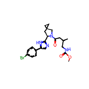 COC(=O)NCC(C)CC(=O)N1CC2(CC2)CC1c1ncc(-c2ccc(Br)cc2)[nH]1